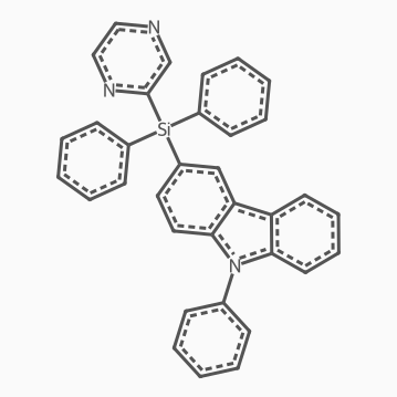 c1ccc(-n2c3ccccc3c3cc([Si](c4ccccc4)(c4ccccc4)c4cnccn4)ccc32)cc1